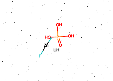 O=P(O)(O)O.[F][Zn][F].[LiH]